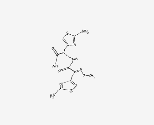 CON=C(C(=O)NC(C([NH])=O)c1csc(N)n1)c1csc(N)n1